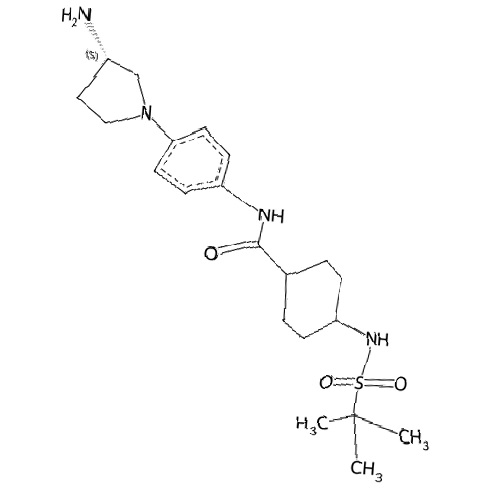 CC(C)(C)S(=O)(=O)NC1CCC(C(=O)Nc2ccc(N3CC[C@H](N)C3)cc2)CC1